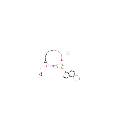 CCC(C)N(C(=O)O)[C@@H]1C(=O)N2[C@@H](C[C@@](C)(Oc3nccc4c5c(ccc34)N(C)CCO5)C2(F)F)C(=O)N[C@]2(C(=O)NS(=O)(=O)C3CC3)C[C@H]2/C=C\CC[C@H](C)C[C@H]1C